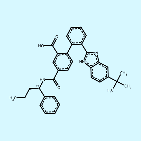 CCC[C@@H](NC(=O)c1ccc(-c2ccccc2-c2nc3cc(C(C)(C)C)ccc3[nH]2)c(C(=O)O)c1)c1ccccc1